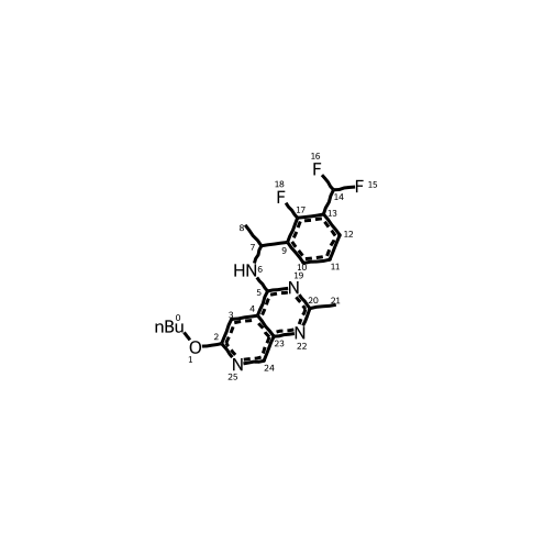 CCCCOc1cc2c(NC(C)c3cccc(C(F)F)c3F)nc(C)nc2cn1